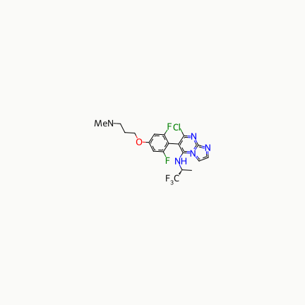 CNCCCOc1cc(F)c(-c2c(Cl)nc3nccn3c2N[C@@H](C)C(F)(F)F)c(F)c1